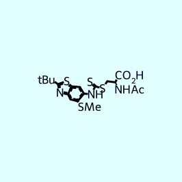 CSc1cc2nc(C(C)(C)C)sc2cc1NC(=S)SC[C@H](NC(C)=O)C(=O)O